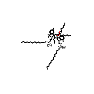 CCCCCCCCCCCCCOP(O)OCCCC(CCCCCCCCC)(c1cc(C)ccc1C(C)(C)C)C(CCC)C(CCCCCCCCC)(CCCOP(O)OCCCCCCCCCCCCC)c1cc(C)ccc1C(C)(C)C